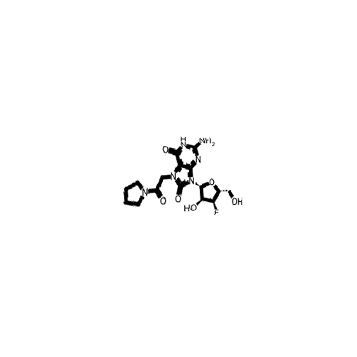 Nc1nc2c(c(=O)[nH]1)n(CC(=O)N1CCCC1)c(=O)n2[C@@H]1O[C@H](CO)[C@@H](F)[C@H]1O